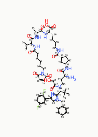 CC(C)C(NC(=O)CCCCCN1C(=O)C=CC1=O)C(=O)N[C@@H](C)C(=O)N[C@@H](CCCCNC(=O)[C@@H]1CC[C@H](NC(=O)[C@@H](N)CCN(C(=O)CO)[C@@H](c2nc(-c3cc(F)ccc3F)cn2Cc2ccccc2)C(C)(C)C)C1)C(=O)O